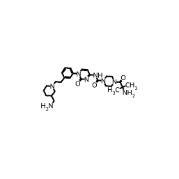 CC(C)(N)C(=O)N1CCN(C(=O)Nc2ccn(-c3cccc(CCN4CCCC(CN)C4)c3)c(=O)n2)CC1